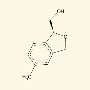 Cc1ccc2c(c1)CO[C@@H]2CO